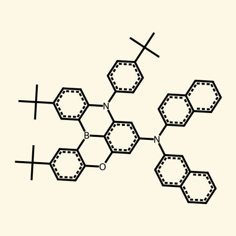 CC(C)(C)c1ccc(N2c3ccc(C(C)(C)C)cc3B3c4cc(C(C)(C)C)ccc4Oc4cc(N(c5ccc6ccccc6c5)c5ccc6ccccc6c5)cc2c43)cc1